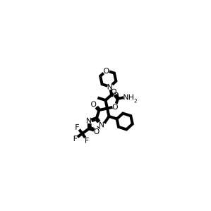 CC(C(=O)N1CCOCC1)C(OC(N)=O)(C(=O)c1noc(C(F)(F)F)n1)C(C)C1CCCCC1